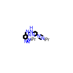 CC(C)N1CCN(c2ccc(Nc3ncc4ccc5nnn(C(C)C)c5c4n3)nc2)CC1